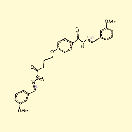 COc1cccc(/C=N/NC(=O)CCCOc2ccc(C(=O)N/N=C/c3cccc(OC)c3)cc2)c1